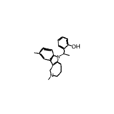 Cc1ccc2c(c1)c1c(n2C(C)c2ccccc2O)CCCN(C)C1